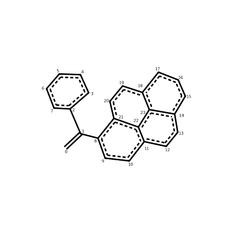 C=C(c1ccccc1)c1ccc2ccc3cccc4ccc1c2c34